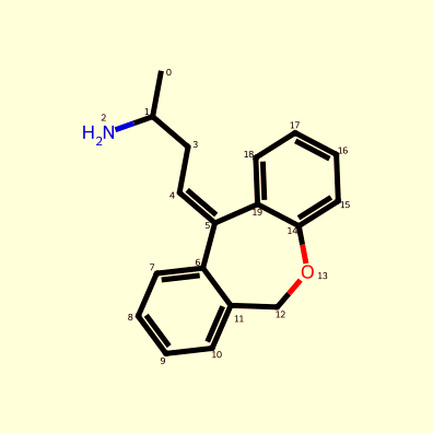 CC(N)CC=C1c2ccccc2COc2ccccc21